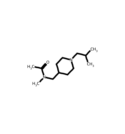 CC(=O)N(C)CC1CCN(CC(C)C)CC1